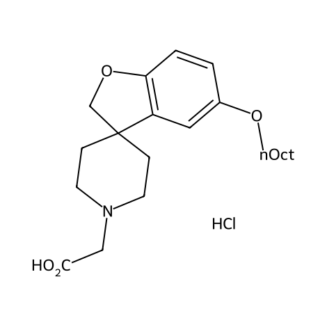 CCCCCCCCOc1ccc2c(c1)C1(CCN(CC(=O)O)CC1)CO2.Cl